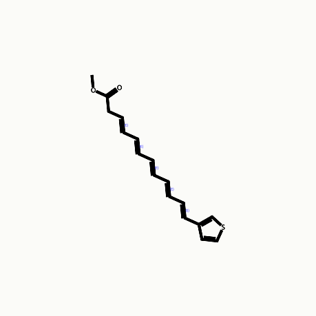 COC(=O)C/C=C/C=C/C=C/C=C/C=C/c1ccsc1